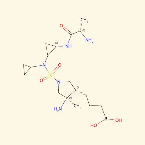 C[C@H](N)C(=O)N[C@H]1CC1N(C1CC1)S(=O)(=O)N1C[C@H](CCCB(O)O)[C@@](C)(N)C1